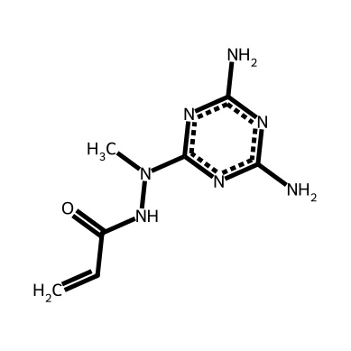 C=CC(=O)NN(C)c1nc(N)nc(N)n1